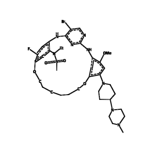 CCN(c1cc2c(F)cc1Nc1nc(ncc1Br)Nc1cc(c(N3CCC(N4CCN(C)CC4)CC3)cc1OC)OCCCCCCO2)S(C)(=O)=O